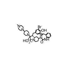 CN1CCN(C2CCN(C(=O)C(Cc3cc(Br)c(O)c(Br)c3)[C@H]3CC(N4CCc5ccccc5NC4=O)CCN3C(=O)O)CC2)CC1